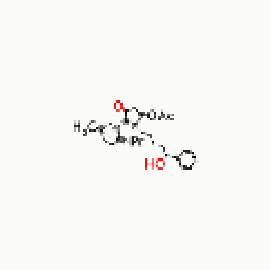 CC(=O)O[C@@H]1CC(=O)[C@H]([C@@H]2C[C@H](C)CC[C@@H]2C(C)C)[C@H]1C=CCCC(O)c1ccccc1